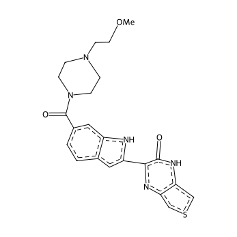 COCCN1CCN(C(=O)c2ccc3cc(-c4nc5cscc5[nH]c4=O)[nH]c3c2)CC1